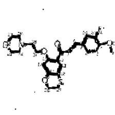 COc1ccc(C=CC(=O)c2cc3c(cc2OCCN2CCOCC2)OCCS3)cc1F